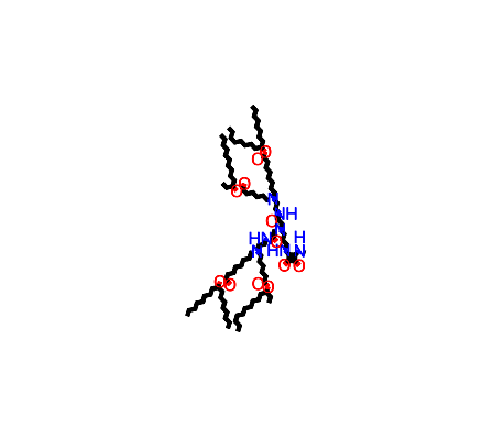 CCCCCCCCCCC(CC)OC(=O)CCCCCN(CCCCCCCC(=O)OC(CCCCCCCC)CCCCCCCC)CCNC(=O)CN(CCCNc1c(NC)c(=O)c1=O)CC(=O)NCCN(CCCCCCCC(=O)OC(CCCCCCCC)CCCCCCCC)CCCCCC(=O)OC(CC)CCCCCCCCCC